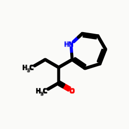 CCC(C(C)=O)C1=CC=CC=CN1